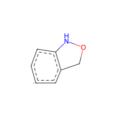 [c]1ccc2c(c1)CON2